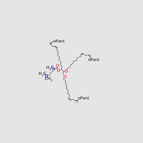 CCCCC/C=C\C/C=C\CCCCCCCCOCC(OCCCCCCCC/C=C\C/C=C\CCCCC)C(CCCCCCCC/C=C\C/C=C\CCCCC)OC(=O)N(C)CCCN(C)C